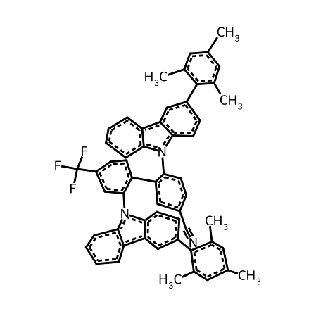 Cc1cc(C)c(-c2ccc3c(c2)c2ccccc2n3-c2ccc(C#N)cc2-c2ccc(C(F)(F)F)cc2-n2c3ccccc3c3cc(-c4c(C)cc(C)cc4C)ccc32)c(C)c1